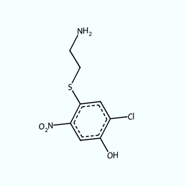 NCCSc1cc(Cl)c(O)cc1[N+](=O)[O-]